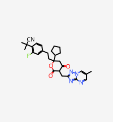 Cc1cnc2nc(CC3C(=O)CC(CCc4ccc(C(C)(C)C#N)c(F)c4)(C4CCCC4)OC3=O)nn2c1